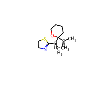 C[SiH](C)C1([SiH](C)C2=NCCS2)CCCCO1